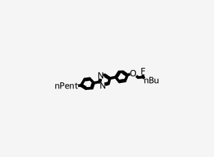 CCCCCc1ccc(-c2ncc(-c3ccc(OCC(F)CCCC)cc3)cn2)cc1